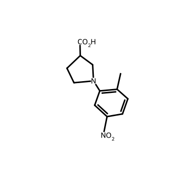 Cc1ccc([N+](=O)[O-])cc1N1CCC(C(=O)O)C1